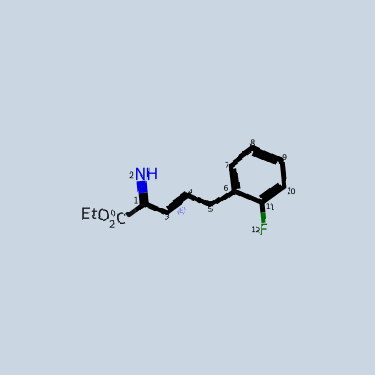 CCOC(=O)C(=N)/C=C/Cc1ccccc1F